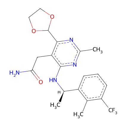 Cc1nc(N[C@H](C)c2cccc(C(F)(F)F)c2C)c(CC(N)=O)c(C2OCCO2)n1